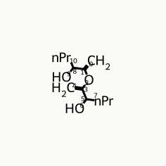 C=C(OC(=C)C(O)CCC)C(O)CCC